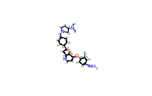 CN(C)[C@H]1CCN(Cc2ccc(-c3cc4nccc(Oc5ccc(N)cc5F)c4s3)cc2)C1